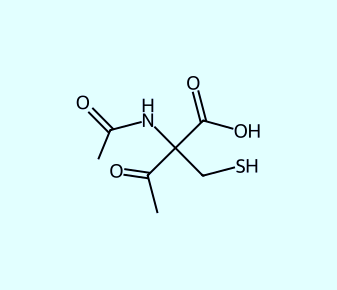 CC(=O)NC(CS)(C(C)=O)C(=O)O